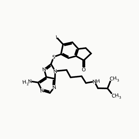 CC(C)CNCCCCn1c(Sc2cc3c(cc2I)CCC3=O)nc2c(N)ncnc21